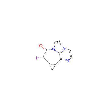 CN1C(=O)C(I)C2CC2c2nccnc21